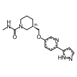 CNC(=O)N1CCC[C@@H](COc2ccc(-c3ccn[nH]3)nc2)C1